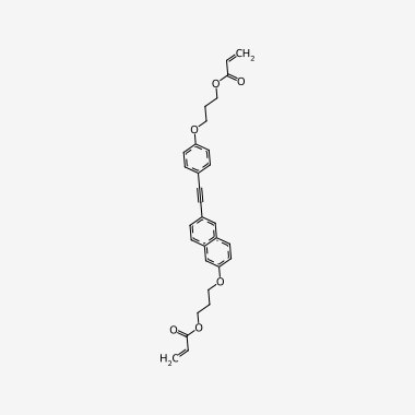 C=CC(=O)OCCCOc1ccc(C#Cc2ccc3cc(OCCCOC(=O)C=C)ccc3c2)cc1